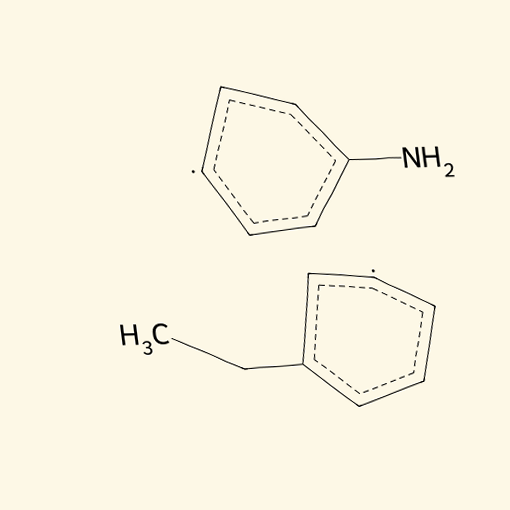 CCc1c[c]ccc1.Nc1cc[c]cc1